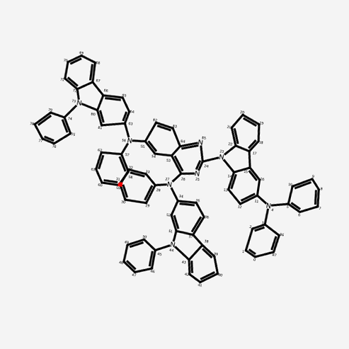 c1ccc(N(c2ccccc2)c2ccc3c(c2)c2ccccc2n3-c2nc(N(c3ccccc3)c3ccc4c5ccccc5n(-c5ccccc5)c4c3)c3cc(N(c4ccccc4)c4ccc5c6ccccc6n(-c6ccccc6)c5c4)ccc3n2)cc1